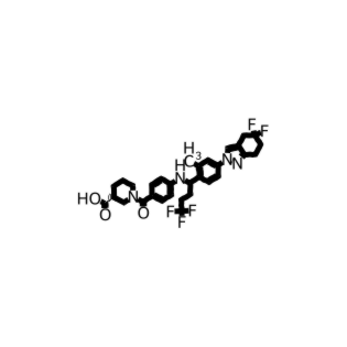 Cc1cc(-n2cc3c(n2)CCC(F)(F)C3)ccc1C(CCC(F)(F)F)Nc1ccc(C(=O)N2CCC[C@@H](C(=O)O)C2)cc1